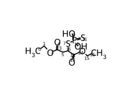 CCOC(=O)CC(SP(O)(O)=S)C(=O)OCC